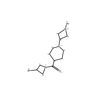 CC(C)C1CN(C(=O)C2CCN(C3CN(C(C)C)C3)CC2)C1